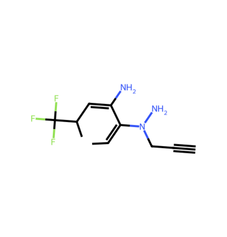 C#CCN(N)C(=C/C)/C(N)=C\C(C)C(F)(F)F